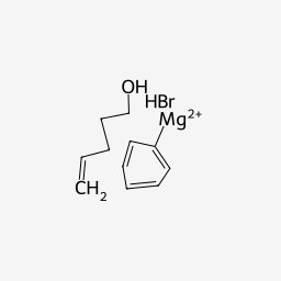 Br.C=CCCCO.[Mg+2][c]1ccccc1